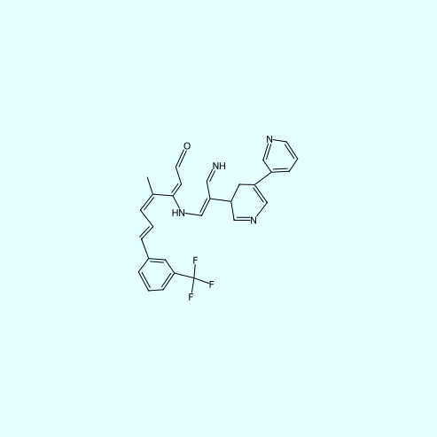 CC(=C/C=C/c1cccc(C(F)(F)F)c1)/C(=C\C=O)N/C=C(\C=N)C1C=NC=C(c2cccnc2)C1